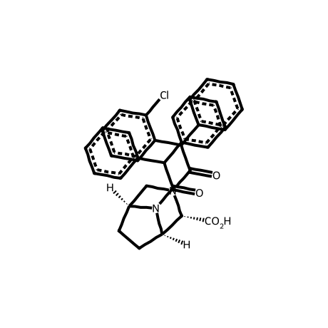 O=C(O)[C@@H]1[C@H]2CC[C@@H](CN1C(=O)C(c1ccccc1)c1ccccc1Cl)N2C(=O)C(c1ccccc1)c1ccccc1